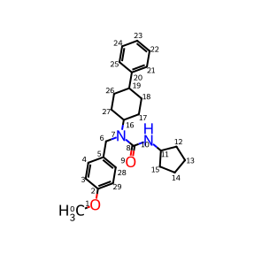 COc1ccc(CN(C(=O)NC2CCCC2)C2CCC(c3ccccc3)CC2)cc1